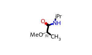 CO[C@@H](C)C(=O)NC(C)C